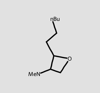 CCCCCCC1OCC1NC